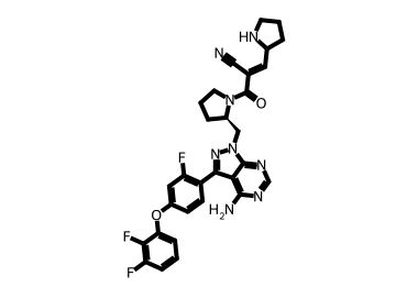 N#CC(=CC1CCCN1)C(=O)N1CCC[C@@H]1Cn1nc(-c2ccc(Oc3cccc(F)c3F)cc2F)c2c(N)ncnc21